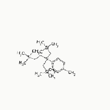 Cc1ccc([Si](CC[Si](C)(C)C)(C[Si](C)(C)C)C[Si](C)(C)C)cc1